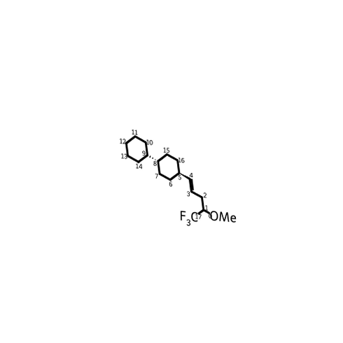 COC(CC=C[C@H]1CC[C@H](C2CCCCC2)CC1)C(F)(F)F